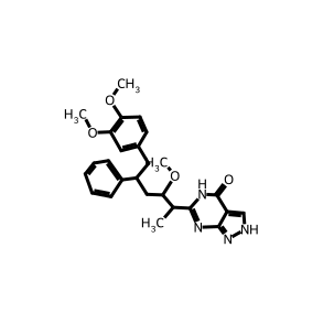 COc1ccc(CC(CC(OC)C(C)c2nc3n[nH]cc3c(=O)[nH]2)c2ccccc2)cc1OC